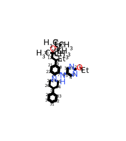 CCOc1ncc(Nc2cc(C(CC)CC(C)(C)O[Si](C)(C)C)ccc2N2CCC(c3ccccc3)CC2)cn1